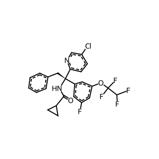 O=C(N[C@@](Cc1ccccc1)(c1cc(F)cc(OC(F)(F)C(F)F)c1)c1ccc(Cl)cn1)C1CC1